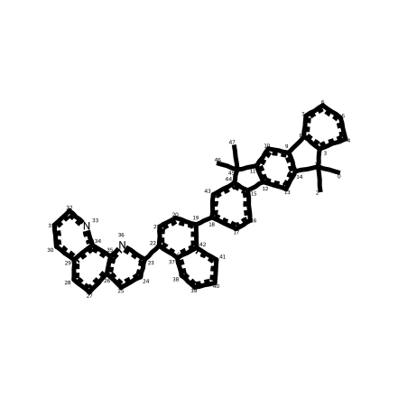 CC1(C)c2ccccc2-c2cc3c(cc21)-c1ccc(-c2ccc(-c4ccc5ccc6cccnc6c5n4)c4ccccc24)cc1C3(C)C